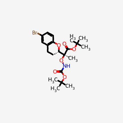 CC(C)(C)OC(=O)NO[C@](C)(C(=O)OC(C)(C)C)[C@@H]1CCc2cc(Br)ccc2O1